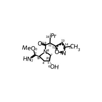 COC(=N)[C@@H]1C[C@@H](O)CN1C(=O)C(c1cc(C)no1)C(C)C